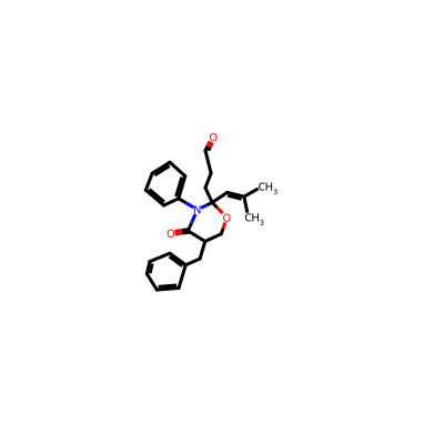 CC(C)=CC1(CCC=O)OCC(Cc2ccccc2)C(=O)N1c1ccccc1